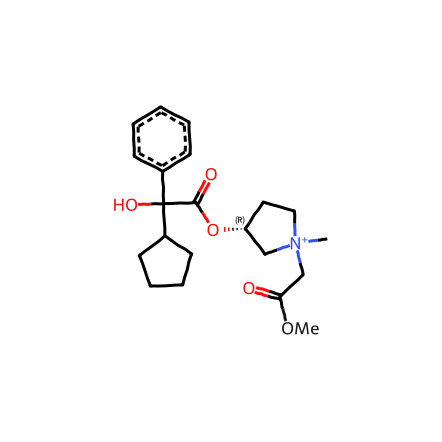 COC(=O)C[N+]1(C)CC[C@@H](OC(=O)C(O)(c2ccccc2)C2CCCC2)C1